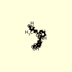 Cc1cc(=O)[nH]cc1C1CN(C(=O)[C@@H]2CC[C@@H]3CCC[C@H](NC(=O)c4cc5cc(CP(=O)(O)O)ccc5s4)C(=O)N32)C1